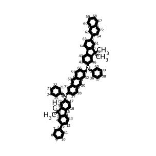 CC1(C)c2cc(-c3ccccc3)ccc2-c2ccc(N(c3ccccc3)c3ccc4cc5cc(N(c6ccccc6)c6ccc7c(c6)C(C)(C)c6cc(-c8ccc9ccccc9c8)ccc6-7)ccc5cc4c3)cc21